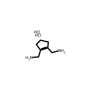 Cl.Cl.NCC1=C(CN)CCC1